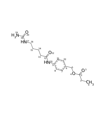 CCC(=O)OCc1ccc(NC(=O)CCCCNC(N)=O)cc1